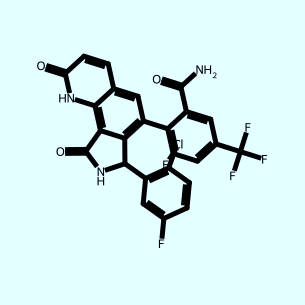 NC(=O)c1cc(C(F)(F)F)cc(F)c1-c1cc2ccc(=O)[nH]c2c2c1C(c1cc(F)ccc1Cl)NC2=O